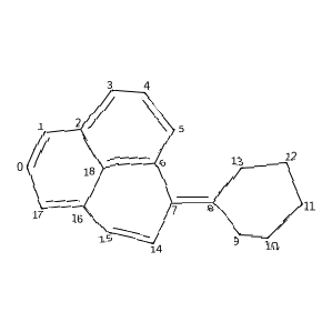 c1cc2cccc3c(=C4CCCCC4)ccc(c1)c23